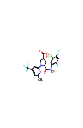 Cc1cc(C(F)(F)F)cc(N2CC(C(=O)O)CC2C(=O)N(C)c2cc(Cl)c(F)cc2F)n1